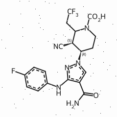 N#C[C@H]1C(CC(F)(F)F)N(C(=O)O)CC[C@H]1n1cc(C(N)=O)c(Nc2ccc(F)cc2)n1